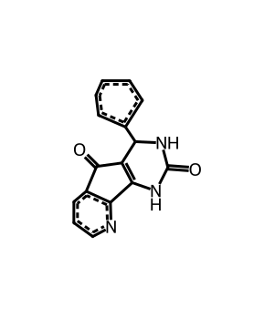 O=C1NC2=C(C(=O)c3cccnc32)C(c2ccccc2)N1